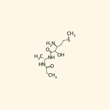 CCC(=O)N[C@H](C)NC(=O)C(O)[C@@H](N)CCSC